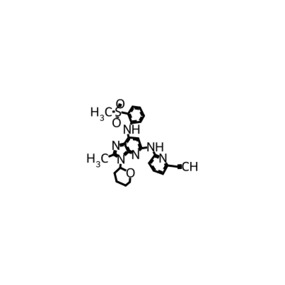 C#Cc1cccc(Nc2cc(Nc3ccccc3S(C)(=O)=O)c3nc(C)n(C4CCCCO4)c3n2)n1